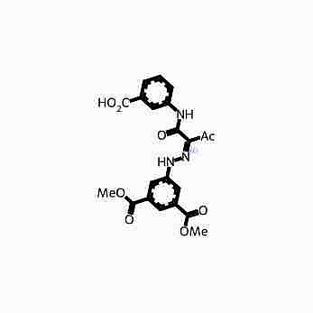 COC(=O)c1cc(N/N=C(/C(C)=O)C(=O)Nc2cccc(C(=O)O)c2)cc(C(=O)OC)c1